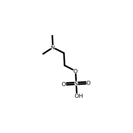 CN(C)CCOS(=O)(=O)O